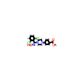 COC(=O)c1ccc(N2CCN(C(=NO)c3c(Cl)cccc3Cl)CC2)cc1